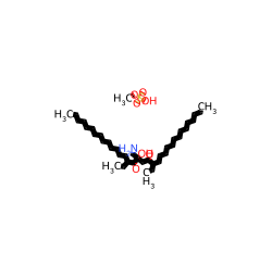 CCCCCCCCCCCCCCC(CC)C(=O)CC(O)(CN)C(=O)C(CC)CCCCCCCCCCCCCC.COS(=O)(=O)O